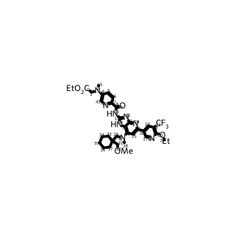 CCOC(=O)CN(C)c1ccc(C(=O)Nc2nc3nc(-c4cnc(OCC)c(C(F)(F)F)c4)cc(N(C)CC4(COC)CCCCC4)c3[nH]2)nc1